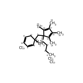 CCC[SiH2]C1(CC2(C)C=CC=CC2)C(C)=C(C)C(C)=[C]1[Ti+3].[Cl-].[Cl-].[Cl-]